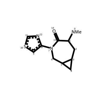 CNC1CC2CC2CN(c2cscn2)C1=O